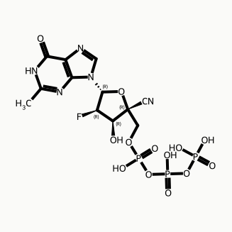 Cc1nc2c(ncn2[C@@H]2O[C@](C#N)(COP(=O)(O)OP(=O)(O)OP(=O)(O)O)[C@@H](O)[C@H]2F)c(=O)[nH]1